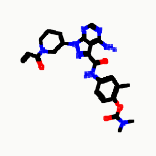 C=CC(=O)N1CCC[C@@H](n2nc(C(=O)Nc3ccc(OC(=O)N(C)C)c(C)c3)c3c(N)ncnc32)C1